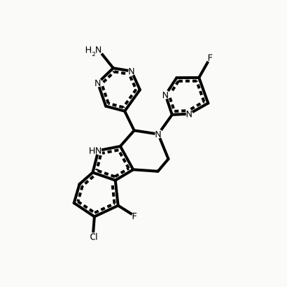 Nc1ncc(C2c3[nH]c4ccc(Cl)c(F)c4c3CCN2c2ncc(F)cn2)cn1